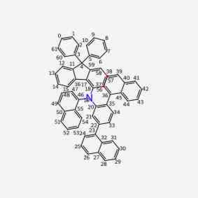 c1ccc(C2(c3ccccc3)c3ccccc3-c3c(N(c4cc(-c5cccc6ccccc56)ccc4-c4cccc5ccccc45)c4cccc5ccccc45)cccc32)cc1